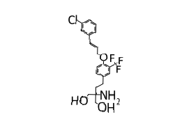 NC(CO)(CO)CCc1ccc(OCC=Cc2cccc(Cl)c2)c(C(F)(F)F)c1